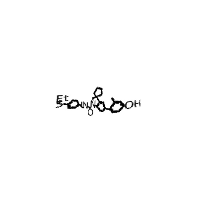 CCSc1ccc(CNC(=O)N2CC3(CCCC3)c3cc(-c4ccc(O)cc4C)ccc32)cc1